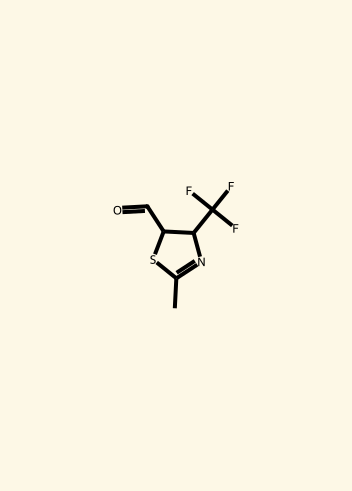 CC1=NC(C(F)(F)F)C(C=O)S1